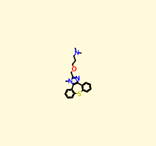 CN(C)CCCOCc1nc2c(n1C)-c1ccccc1Sc1ccccc1-2